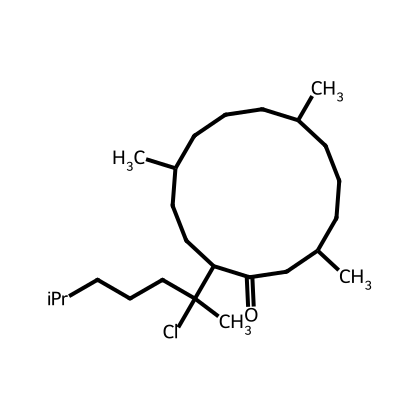 CC(C)CCCC(C)(Cl)C1CCC(C)CCCC(C)CCCC(C)CC1=O